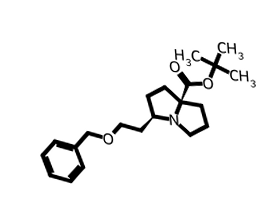 CC(C)(C)OC(=O)[C@@]12CCCN1[C@@H](CCOCc1ccccc1)CC2